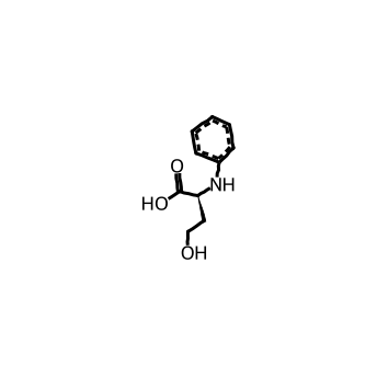 O=C(O)[C@H](CCO)Nc1ccccc1